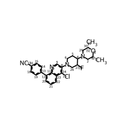 C[C@@H]1CN(C2CCN(c3cnc4c(-c5ccc(C#N)cc5)cccc4c3Cl)CC2F)C[C@H](C)O1